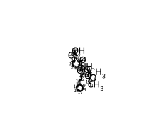 CCC(=O)OC(C)OP(=O)(CCCCc1ccccc1)N[C@H]1CCCCN(CC(=O)O)C1=O